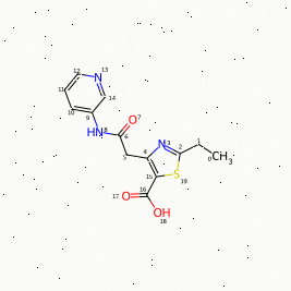 CCc1nc(CC(=O)Nc2cccnc2)c(C(=O)O)s1